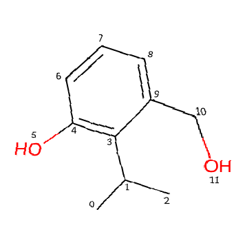 CC(C)c1c(O)cccc1CO